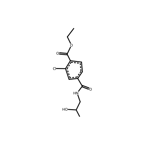 CCOC(=O)c1ccc(C(=O)NCC(C)O)cc1Cl